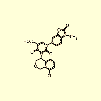 Cn1c(=O)oc2cc(-n3cc(C(=O)O)c(=O)n(C4COCc5c(Cl)cccc54)c3=O)ccc21